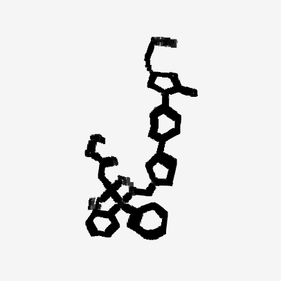 CC(=O)NC[C@H]1CN(c2ccc(C3=CCN(CO[Si](c4ccccc4)(c4ccccc4)C(C)(C)CC(=O)OC(C)(C)C)C3)cc2)C(=O)O1